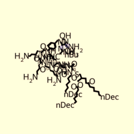 C#CC(/N=C1\C(=C(/C)N)N=C(O)N1Cc1ccc(NC(=O)[C@H](CCCCN)NC(=O)[C@H](CCCCN)NC(=O)[C@H](CCCCN)NC(=O)[C@H](CCCCN)NC(=O)[C@H](CO)NC(=O)[C@H](CSCC(CCC(=O)CCCCCCCCCCCCCCC)COC(=O)CCCCCCCCCCCCCCC)NC(=O)CCCCCCCCCCCCCCC)cc1)NCCCC